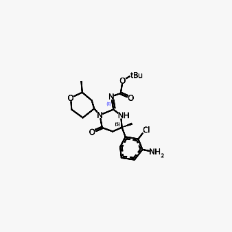 CC1CC(N2C(=O)C[C@@](C)(c3cccc(N)c3Cl)N/C2=N\C(=O)OC(C)(C)C)CCO1